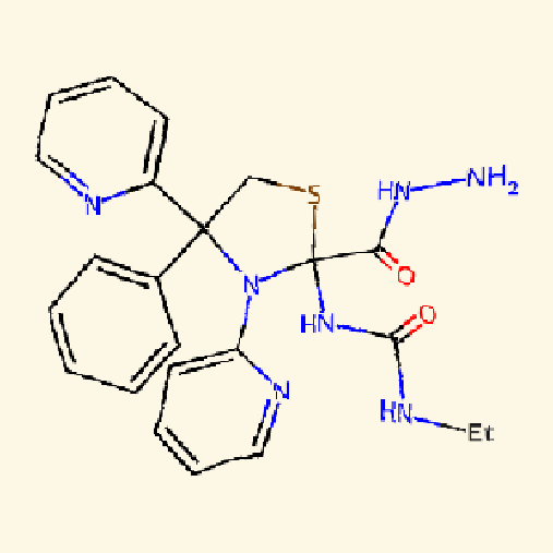 CCNC(=O)NC1(C(=O)NN)SCC(c2ccccc2)(c2ccccn2)N1c1ccccn1